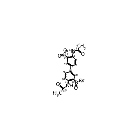 CC(=O)Nc1ccc(-c2ccc(NC(C)=O)c([N+](=O)[O-])c2)cc1[N+](=O)[O-]